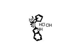 C[SiH](C)[Ti]([CH3])([CH3])([CH3])([CH3])([CH3])([CH3])([C]1=CC=CC1)[c]1cc2ccccc2[nH]1.Cl.Cl